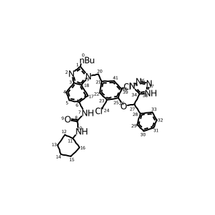 CCCCc1nc2ccc(NC(=O)NC3CCCCC3)cc2n1Cc1cc(Cl)c(OC(c2ccccc2)c2nnn[nH]2)c(Cl)c1